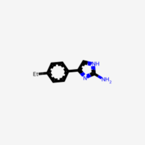 CCc1ccc(-c2c[nH]c(N)n2)cc1